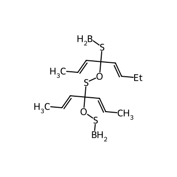 BSOC(C=CC)(C=CC)SOC(C=CC)(C=CCC)SB